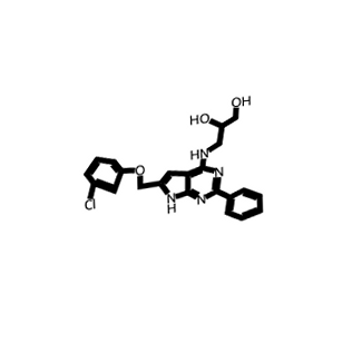 OCC(O)CNc1nc(-c2ccccc2)nc2[nH]c(COc3cccc(Cl)c3)cc12